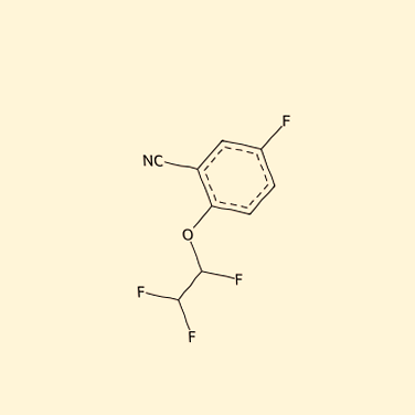 N#Cc1cc(F)ccc1OC(F)C(F)F